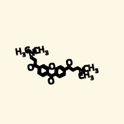 CN(C)CCC(=O)c1ccc2c(=O)c3ccc(C(=O)CCN(C)C)cc3oc2c1